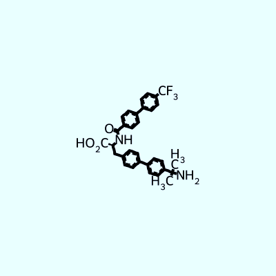 CC(C)(N)c1ccc(-c2ccc(C[C@H](NC(=O)c3ccc(-c4ccc(C(F)(F)F)cc4)cc3)C(=O)O)cc2)cc1